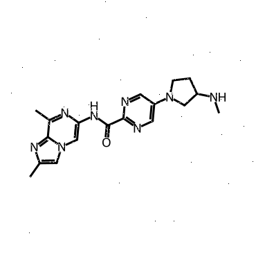 CNC1CCN(c2cnc(C(=O)Nc3cn4cc(C)nc4c(C)n3)nc2)C1